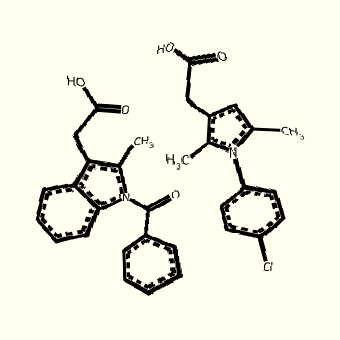 Cc1c(CC(=O)O)c2ccccc2n1C(=O)c1ccccc1.Cc1cc(CC(=O)O)c(C)n1-c1ccc(Cl)cc1